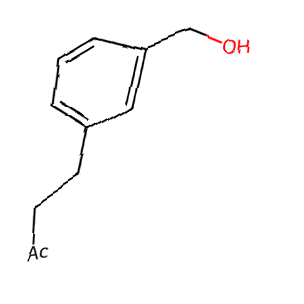 CC(=O)CCc1cccc(CO)c1